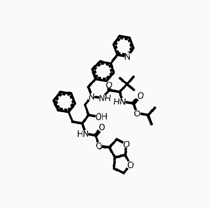 CC(C)OC(=O)NC(C(=O)NN(Cc1ccc(-c2ccccn2)cc1)CC(O)C(Cc1ccccc1)NC(=O)OC1COC2OCCC12)C(C)(C)C